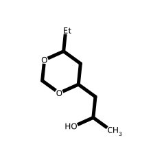 CCC1CC(CC(C)O)OCO1